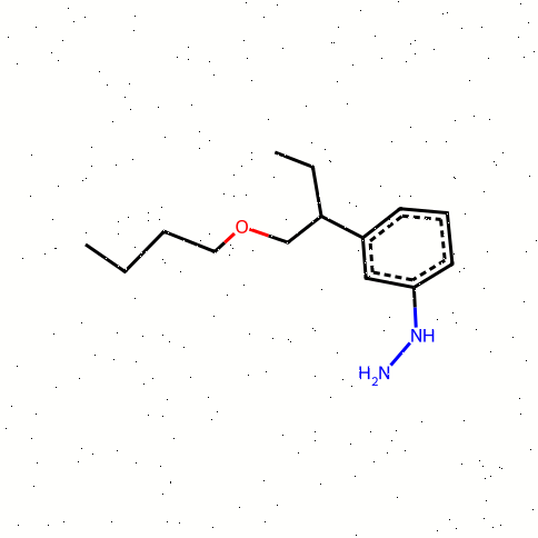 CCCCOCC(CC)c1cccc(NN)c1